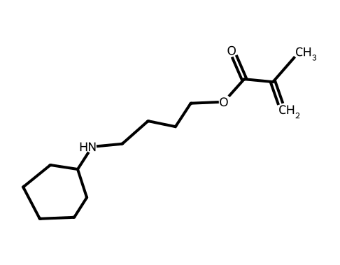 C=C(C)C(=O)OCCCCNC1CCCCC1